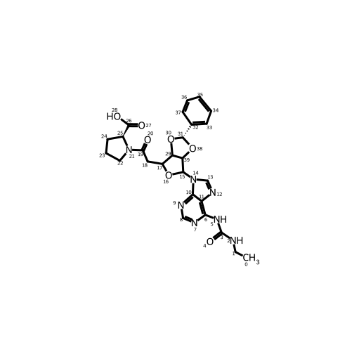 CCNC(=O)Nc1ncnc2c1ncn2C1OC(CC(=O)N2CCC[C@H]2C(=O)O)C2O[C@H](c3ccccc3)OC21